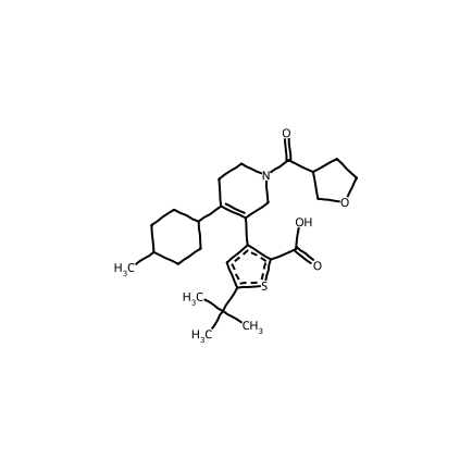 CC1CCC(C2=C(c3cc(C(C)(C)C)sc3C(=O)O)CN(C(=O)C3CCOC3)CC2)CC1